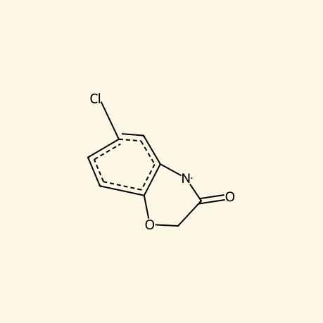 O=C1COc2ccc(Cl)cc2[N]1